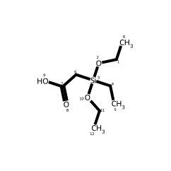 CCO[Si](CC)(CC(=O)O)OCC